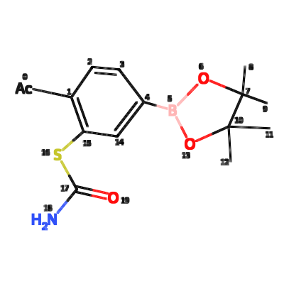 CC(=O)c1ccc(B2OC(C)(C)C(C)(C)O2)cc1SC(N)=O